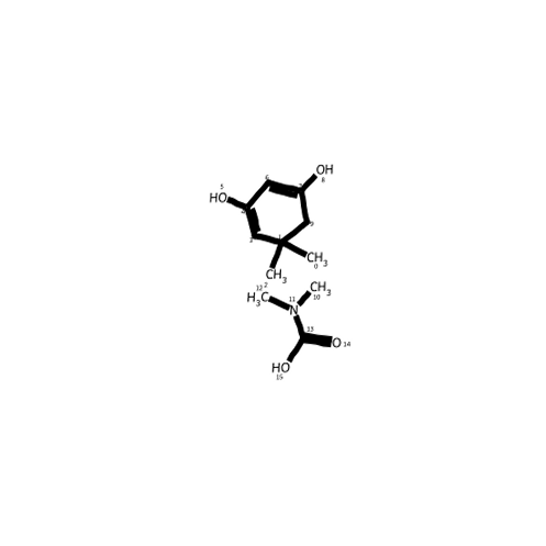 CC1(C)C=C(O)C=C(O)C1.CN(C)C(=O)O